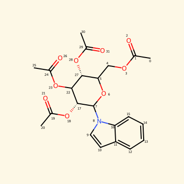 CC(=O)OCC1OC(n2ccc3ccccc32)[C@H](OC(C)=O)C(OC(C)=O)[C@@H]1OC(C)=O